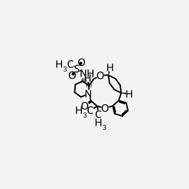 CC1(C)Oc2ccccc2[C@H]2CC[C@H](CC2)OC[C@H]2[C@@H](NS(C)(=O)=O)CCCN2C1=O